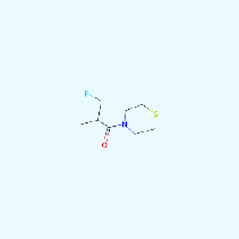 CC(CF)C(=O)N1CCSCC1